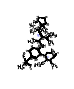 C=C(C#N)/C(C)=C(\CC)c1cc(C(C)(F)F)ccc1NC(=C)/C(C(=C)C)=C(\C)C1(C)CCCN1C